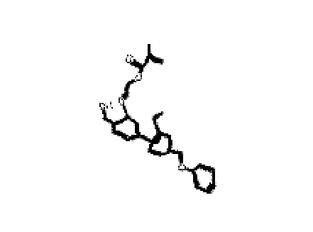 C=C(C)C(=O)OCCOc1cc(-c2ccc(COc3ccccc3)cc2CC)ccc1CO